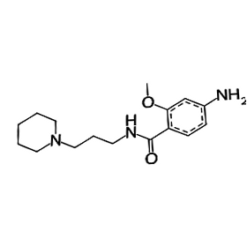 COc1cc(N)ccc1C(=O)NCCCN1CCCCC1